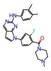 Cc1ccc(Nc2ncc3ccn(-c4ccc(C(=O)N5CCN(C)CC5)c(F)c4)c3n2)cc1C